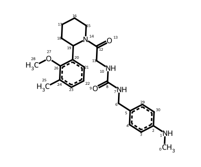 CNc1ccc(CNC(=O)NCC(=O)N2CCCCC2c2cccc(C)c2OC)cc1